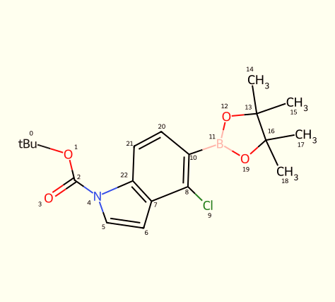 CC(C)(C)OC(=O)n1ccc2c(Cl)c(B3OC(C)(C)C(C)(C)O3)ccc21